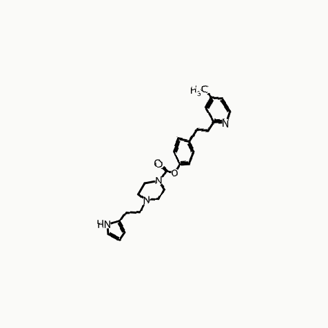 Cc1ccnc(CCc2ccc(OC(=O)N3CCN(CCc4ccc[nH]4)CC3)cc2)c1